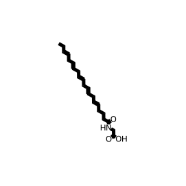 CCC=CCC=CCC=CCC=CCC=CCCCC(=O)NCC(=O)O